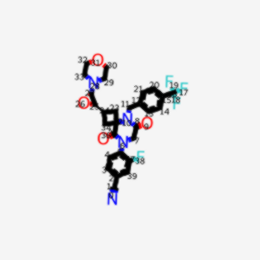 N#Cc1ccc(N2CC(=O)N(Cc3ccc(C(F)(F)F)cc3)C3(CC([C@H]4OC4N4CCOCC4)C3)C2=O)c(F)c1